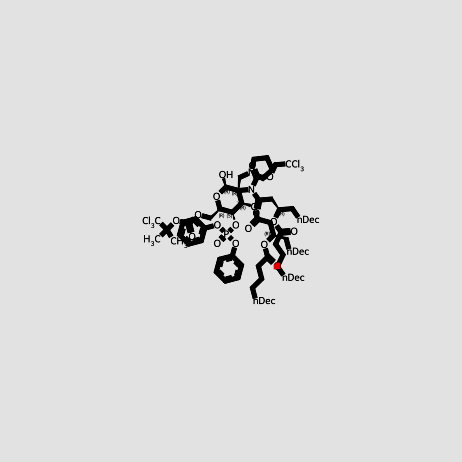 CCCCCCCCCCCCCC(=O)O[C@H](CCCCCCCCCCC)CC(=O)O[C@H]1[C@H](OP(=O)(Oc2ccccc2)Oc2ccccc2)[C@@H](COC(=O)OC(C)(C)C(Cl)(Cl)Cl)O[C@@H](O)[C@]1(CN1CCCC1)N(C(=O)C[C@@H](CCCCCCCCCCC)OC(=O)CCCCCCCCCCCCC)C(=O)OCC(Cl)(Cl)Cl